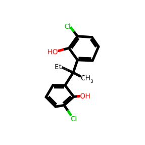 CCC(C)(c1cccc(Cl)c1O)c1cccc(Cl)c1O